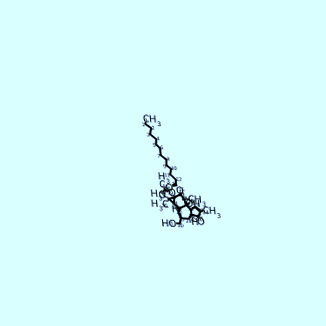 CCCCCCCCCCCCCC(=O)O[C@@H]1[C@@H](C)C2(O)C3C=C(C)C(=O)[C@H]3CC(CO)=C[C@H]2C2C(C)(C)C21OC(C)=O